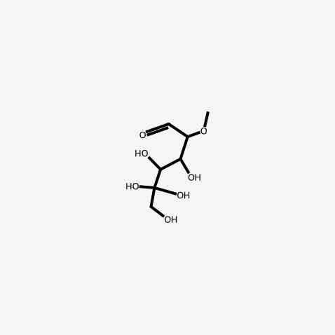 COC(C=O)C(O)C(O)C(O)(O)CO